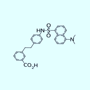 CN(C)c1cccc2c(S(=O)(=O)Nc3ccc(CCc4cccc(C(=O)O)c4)cc3)cccc12